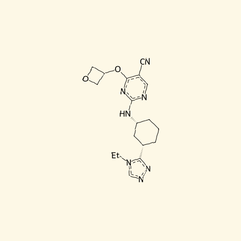 CCn1cnnc1[C@H]1CCC[C@@H](Nc2ncc(C#N)c(OC3COC3)n2)C1